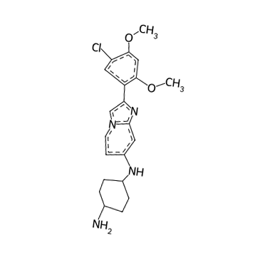 COc1cc(OC)c(-c2cn3ccc(NC4CCC(N)CC4)cc3n2)cc1Cl